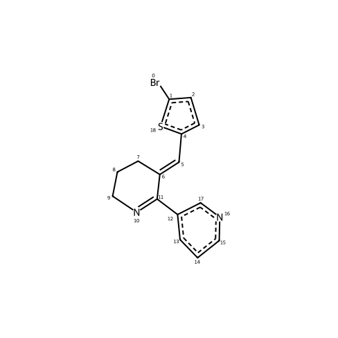 Brc1ccc(C=C2CCCN=C2c2cccnc2)s1